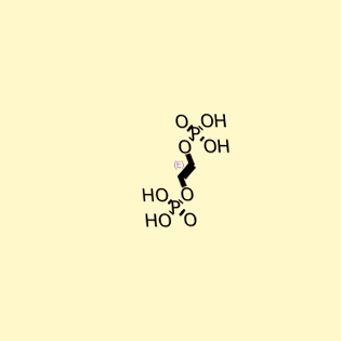 O=P(O)(O)O/C=C/OP(=O)(O)O